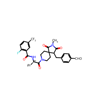 CC(C)[C@@H](NC(=O)c1cc(C(F)(F)F)ccc1F)C(=O)N1CCC2(CC1)C(=O)N(C)C(=O)C2Cc1ccc(C=O)cc1